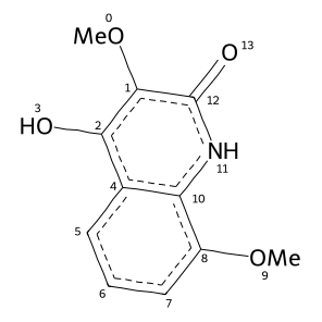 COc1c(O)c2cccc(OC)c2[nH]c1=O